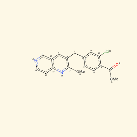 COC(=O)c1ccc(Cc2cc3cnccc3nc2OC)cc1Cl